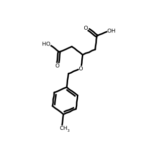 Cc1ccc(COC(CC(=O)O)CC(=O)O)cc1